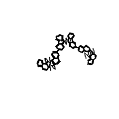 c1ccc2c(c1)ccc1nc3ccc4cc(-c5ccc6c(c5)c5ccccc5n6-n5c6ccccc6c6cc(-c7ccc8c(ccc9nc%10ccc%11ccccc%11c%10nc98)c7)ccc65)ccc4c3nc12